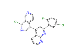 Fc1ccc(Cl)cc1-c1cc(-c2cnc(Cl)c3cnccc23)c2cccnc2n1